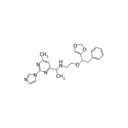 Cc1cc(C(C)NCCOC(Cc2ccccc2)C2=COCO2)nc(-n2ccnc2)n1